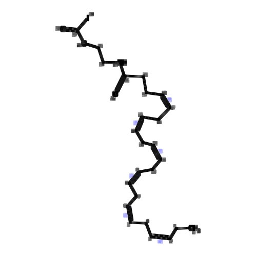 CC/C=C\C/C=C\C/C=C\C/C=C\C/C=C\C/C=C\CCC(=O)NCCOC(=O)I